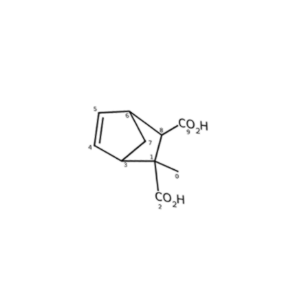 CC1(C(=O)O)C2C=CC(C2)C1C(=O)O